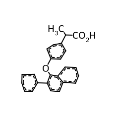 CC(C(=O)O)c1ccc(Oc2c(-c3ccccc3)ccc3ccccc23)cc1